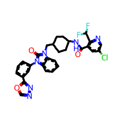 O=C(NC1CCC(Cn2c(=O)n(-c3cccc(-c4nnco4)c3)c3ccccc32)CC1)c1cc(Cl)cnc1C(F)F